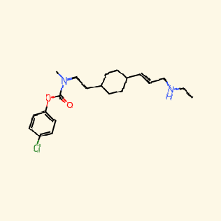 CCNC/C=C/C1CCC(CCN(C)C(=O)Oc2ccc(Cl)cc2)CC1